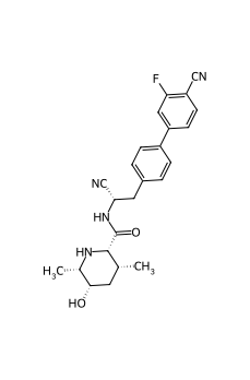 C[C@@H]1C[C@H](O)[C@H](C)N[C@@H]1C(=O)N[C@H](C#N)Cc1ccc(-c2ccc(C#N)c(F)c2)cc1